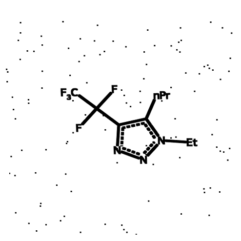 CCCc1c(C(F)(F)C(F)(F)F)nnn1CC